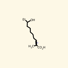 CCC(O)CCCCC/C=C(\C)C(=O)O